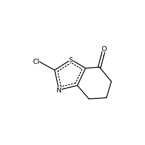 O=C1CCCc2nc(Cl)sc21